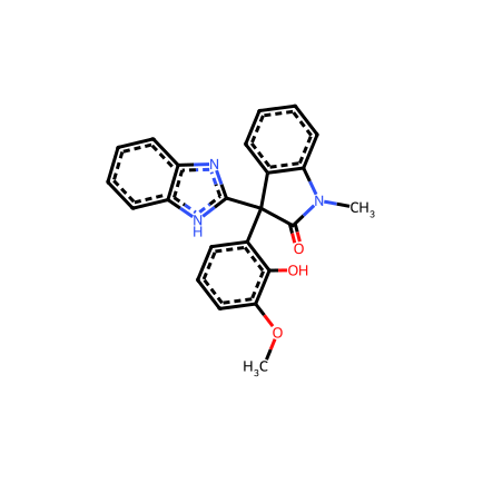 COc1cccc(C2(c3nc4ccccc4[nH]3)C(=O)N(C)c3ccccc32)c1O